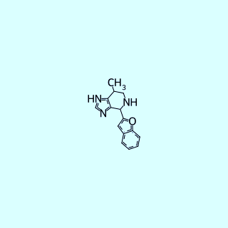 CC1CNC(c2cc3ccccc3o2)c2nc[nH]c21